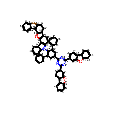 c1ccc(-c2cc(-c3nc(-c4ccc5c(c4)oc4ccccc45)nc(-c4ccc5c(c4)oc4ccccc45)n3)cc(-c3ccccc3)c2-n2c3ccccc3c3c4oc5c(ccc6sc7ccccc7c65)c4ccc32)cc1